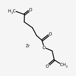 CC(=O)CCCC(=O)OCC(C)=O.[Zr]